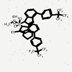 CCC1=Cc2c(-c3ccc(C(C(F)(F)F)(C(F)(F)F)C(F)(F)F)cc3)cccc2[CH]1[Zr]([Cl])([Cl])([CH]1C(C2CCCCC2)=Cc2c(-c3ccc(C(C(F)(F)F)(C(F)(F)F)C(F)(F)F)cc3)cccc21)[SiH](C)C